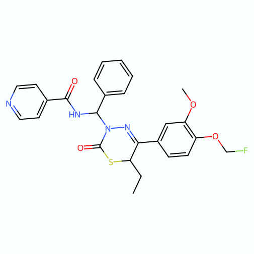 CCC1SC(=O)N(C(NC(=O)c2ccncc2)c2ccccc2)N=C1c1ccc(OCF)c(OC)c1